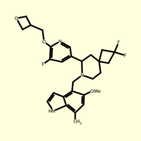 COc1cc(C)c2[nH]ccc2c1CN1CCC2(CC1c1cnc(OCC3COC3)c(F)c1)CC(F)(F)C2